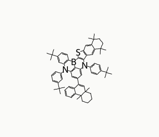 CC(C)(C)c1ccc(N2c3cc(C4=CC5(C)CCCCC5(C)c5ccccc54)cc4c3B(c3ccc(C(C)(C)C)cc3N4c3cccc(C(C)(C)C)c3)c3sc4cc5c(cc4c32)C(C)(C)CCC5(C)C)cc1